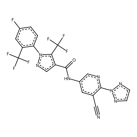 N#Cc1cc(NC(=O)c2cnn(-c3ccc(F)cc3C(F)(F)F)c2C(F)(F)F)cnc1-n1nccn1